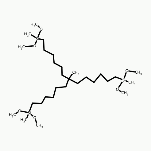 CO[Si](C)(CCCCCCC(C)(CCCCCC[Si](C)(OC)OC)CCCCCC[Si](C)(OC)OC)OC